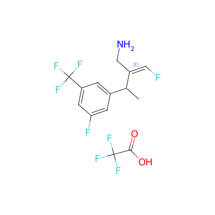 CC(/C(=C\F)CN)c1cc(F)cc(C(F)(F)F)c1.O=C(O)C(F)(F)F